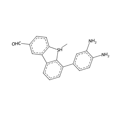 C[SH]1c2ccc(C=O)cc2-c2cccc(-c3ccc(N)c(N)c3)c21